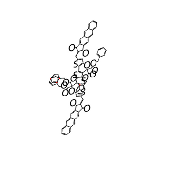 O=C1C(=Cc2cc3c(s2)-c2sc4c5c(sc4c2C(C(=O)OCc2ccccc2)(C(=O)OCc2ccccc2)O3)-c2sc(C=C3C(=O)c4cc6cc7ccccc7cc6cc4C3=O)cc2OC5(C(=O)OCc2ccccc2)C(=O)OCc2ccccc2)C(=O)c2cc3cc4ccccc4cc3cc21